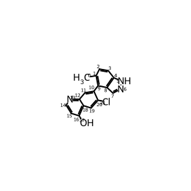 Cc1ccc2[nH]ncc2c1-c1cc2nccc(O)c2cc1Cl